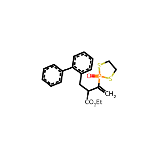 C=C(C(Cc1ccccc1-c1ccccc1)C(=O)OCC)P1(=O)SCCS1